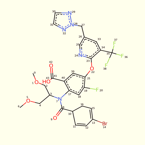 COCC(COC)N(C(=O)C1C=CC(Br)=CC1)c1cc(F)c(Oc2ncc(Cn3nccn3)cc2C(F)(F)F)cc1C(=O)O